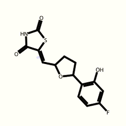 O=C1NC(=O)/C(=C/C2CCC(c3ccc(F)cc3O)O2)S1